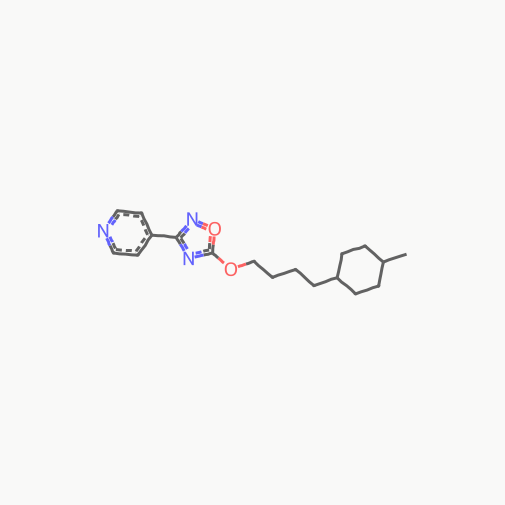 CC1CCC(CCCCOc2nc(-c3ccncc3)no2)CC1